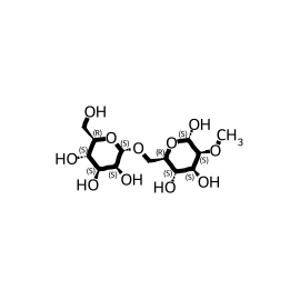 CO[C@H]1[C@@H](O)[C@H](O)[C@@H](CO[C@H]2O[C@H](CO)[C@@H](O)[C@H](O)[C@@H]2O)O[C@@H]1O